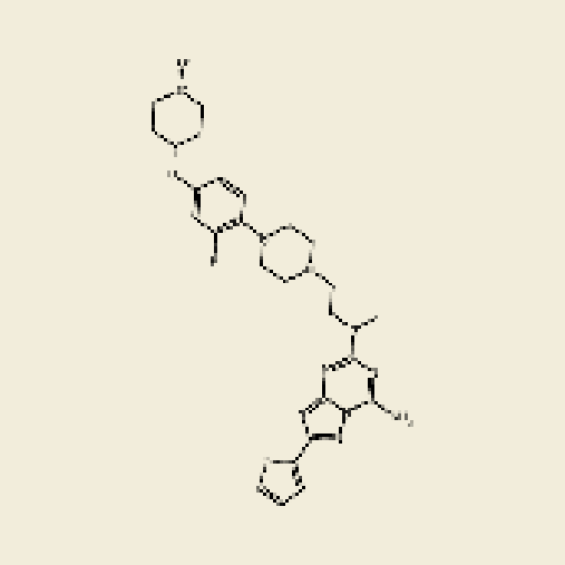 CN(CCN1CCN(c2ccc(O[C@H]3CC[S@+]([O-])CC3)cc2F)CC1)c1nc(N)n2nc(-c3ccco3)nc2n1